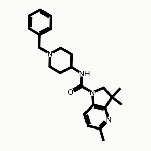 Cc1ccc2c(n1)C(C)(C)CN2C(=O)NC1CCN(Cc2ccccc2)CC1